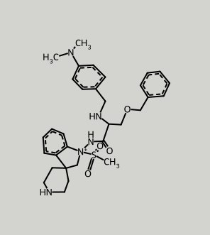 CN(C)c1ccc(CNC(COCc2ccccc2)C(=O)N[N+]2(S(C)(=O)=O)CC3(CCNCC3)c3ccccc32)cc1